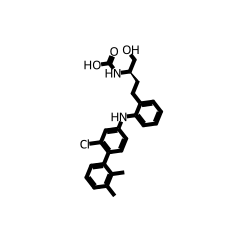 Cc1cccc(-c2ccc(Nc3ccccc3CC[C@H](CO)NC(=O)O)cc2Cl)c1C